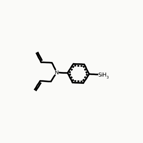 C=CCN(CC=C)c1ccc([SiH3])cc1